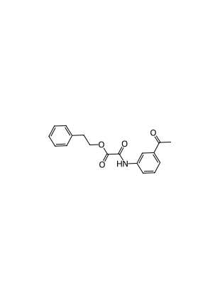 CC(=O)c1cccc(NC(=O)C(=O)OCCc2ccccc2)c1